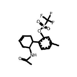 CC(=O)NC1CC=CCC1c1ccc(C)cc1OS(=O)(=O)C(F)(F)F